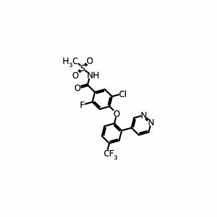 CS(=O)(=O)NC(=O)c1cc(Cl)c(Oc2ccc(C(F)(F)F)cc2-c2ccnnc2)cc1F